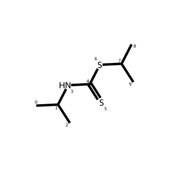 CC(C)NC(=S)SC(C)C